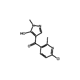 Cc1nc(Cl)ccc1C(=O)c1cnn(C)c1O